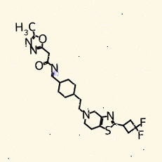 Cc1nnc(CC(=O)/N=C/C2CCC(CCN3CCc4sc(C5CC(F)(F)C5)nc4C3)CC2)o1